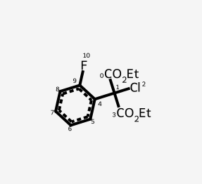 CCOC(=O)C(Cl)(C(=O)OCC)c1ccccc1F